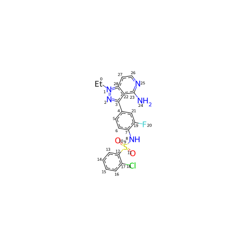 CCn1nc(-c2ccc(NS(=O)(=O)c3ccccc3Cl)c(F)c2)c2c(N)nccc21